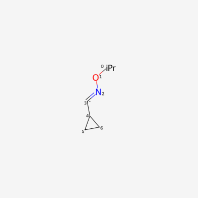 CC(C)O/N=[C]/C1CC1